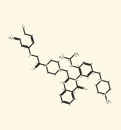 C=C/C=C(\C=C/CCl)OCC(=O)N1CCN(Cc2nc3ccccc3c(=O)n2-c2cc(CN3CCN(C)CC3)ccc2OC(C)C)CC1